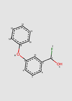 OC(F)c1cccc(Oc2ccccc2)c1